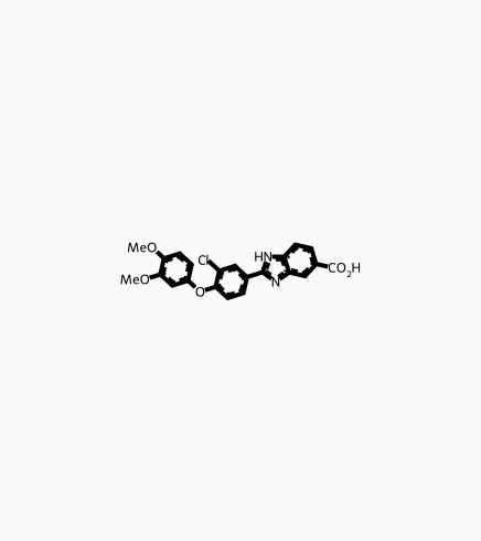 COc1ccc(Oc2ccc(-c3nc4cc(C(=O)O)ccc4[nH]3)cc2Cl)cc1OC